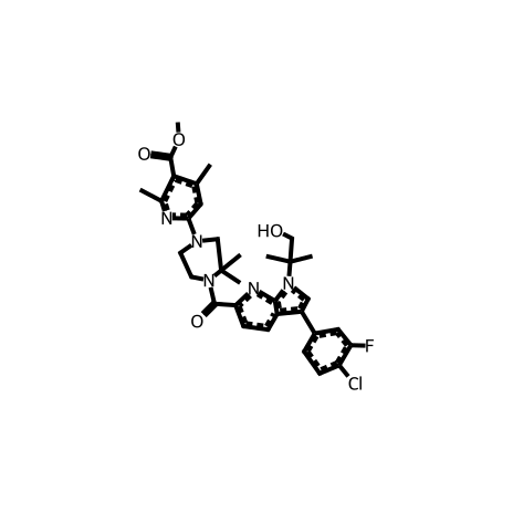 COC(=O)c1c(C)cc(N2CCN(C(=O)c3ccc4c(-c5ccc(Cl)c(F)c5)cn(C(C)(C)CO)c4n3)C(C)(C)C2)nc1C